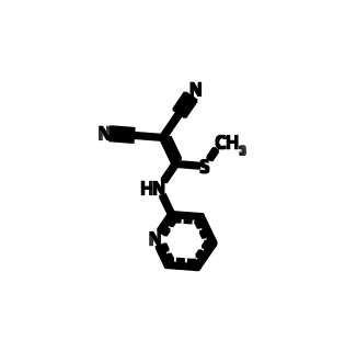 CSC(Nc1ccccn1)=C(C#N)C#N